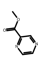 COC(=O)c1[c]nccn1